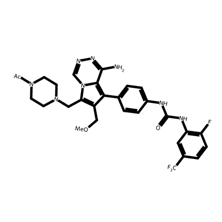 COCc1c(-c2ccc(NC(=O)Nc3cc(C(F)(F)F)ccc3F)cc2)c2c(N)nncn2c1CN1CCN(C(C)=O)CC1